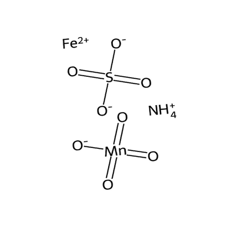 O=S(=O)([O-])[O-].[Fe+2].[NH4+].[O]=[Mn](=[O])(=[O])[O-]